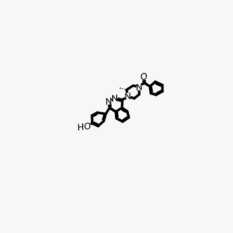 C[C@@H]1CN(C(=O)c2ccccc2)CCN1c1nnc(-c2ccc(O)cc2)c2ccccc12